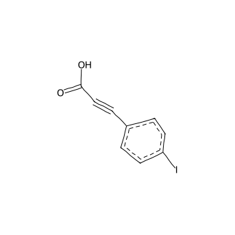 O=C(O)C#Cc1ccc(I)cc1